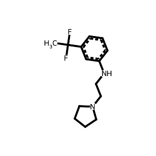 CC(F)(F)c1cccc(NCCN2CCCC2)c1